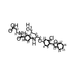 CCCCC(COc1ccc(-c2cc3ccccc3o2)c(Cl)c1)Nc1ccc(C(=O)NCCC(=O)O)cc1